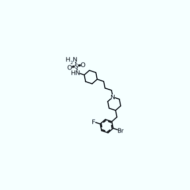 NS(=O)(=O)NC1CCC(CCCN2CCC(Cc3cc(F)ccc3Br)CC2)CC1